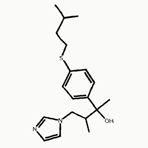 CC(C)CCSc1ccc(C(C)(O)C(C)Cn2ccnc2)cc1